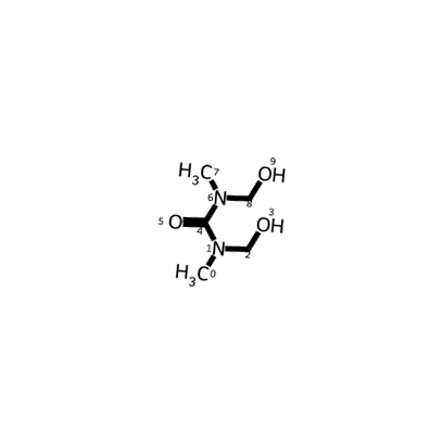 CN(CO)C(=O)N(C)CO